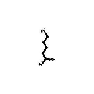 CC(C)CCCCC(S)C(C)C